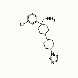 NCC1(c2cccc(Cl)c2)CCC(N2CCC(n3ccnc3)CC2)CC1